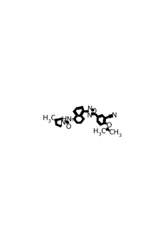 CC(C)Oc1ccc(-c2nc(-c3cccc4c3CCC[C@@H]4NC(=O)N3CC[C@H](C)C3)no2)cc1C#N